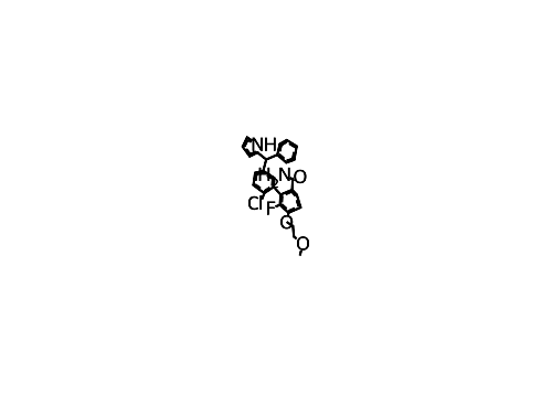 COCCOc1ccc(C(N)=O)c(-c2cc(C(c3ccccc3)c3ccc[nH]3)ccc2Cl)c1F